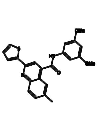 COc1cc(NC(=O)c2cc(-c3cccs3)nc3ccc(C)cc23)cc(OC)c1